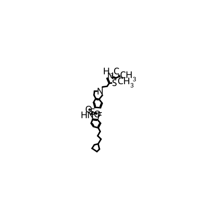 CC(C)(C)c1ncc(CCN2CCc3cc(S(=O)(=O)Nc4ccc(CCCC5CCCC5)cc4F)ccc3C2)s1